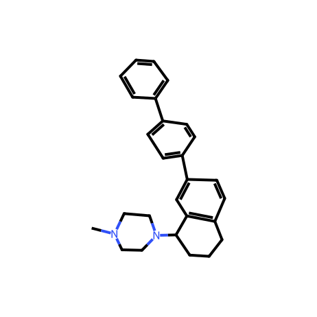 CN1CCN(C2CCCc3ccc(-c4ccc(-c5ccccc5)cc4)cc32)CC1